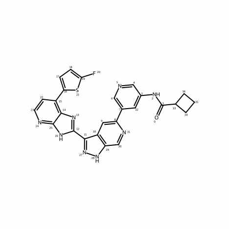 O=C(Nc1cncc(-c2cc3c(-c4nc5c(-c6ccc(F)s6)ccnc5[nH]4)n[nH]c3cn2)c1)C1CCC1